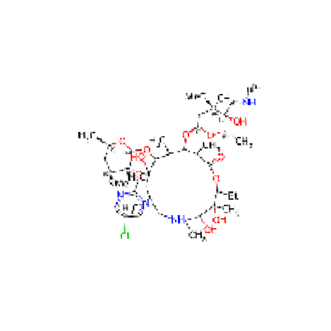 CCCNC[C@]1(O)[C@H](C)O[C@@H](OC2C(C)C(=O)OC(CC)C(C)(O)C(O)C(C)NCC(C)CC(C)(O)C(O[C@@H]3O[C@H](C)C[C@H](NC)[C@H]3Oc3ncc(Cl)cn3)C2C)C[C@@]1(C)OC